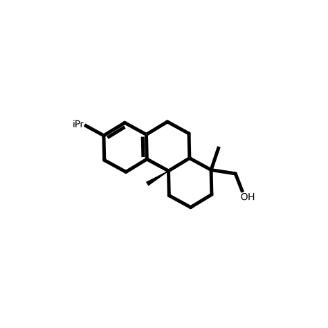 CC(C)C1=CC2=C(CC1)[C@@]1(C)CCCC(C)(CO)C1CC2